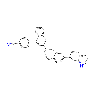 N#Cc1ccc(-c2cc(-c3ccc4ccc(-c5ccc6cccnc6c5)cc4c3)cc3ccccc23)cc1